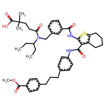 CCC(CC)N(Cc1cccc(C(=O)Nc2sc3c(c2C(=O)Nc2ccc(CCCc4ccc(C(=O)OC)cc4)cc2)CCCC3)c1)C(=O)CCC(C)(C)C(=O)O